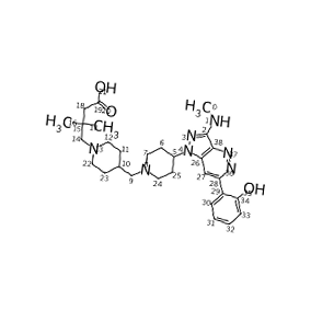 CNc1nn(C2CCN(CC3CCN(CC(C)(C)CC(=O)O)CC3)CC2)c2cc(-c3ccccc3O)nnc12